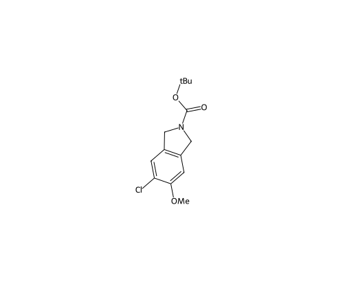 COc1cc2c(cc1Cl)CN(C(=O)OC(C)(C)C)C2